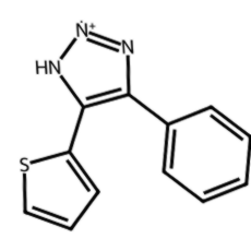 c1ccc(C2=C(c3cccs3)N[N+]=N2)cc1